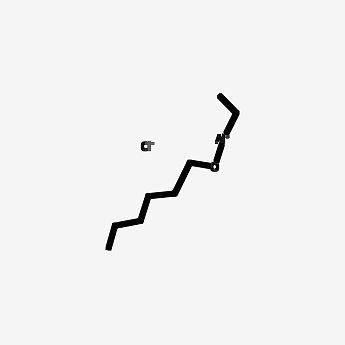 CCCCCC[O][Al+][CH2]C.[Cl-]